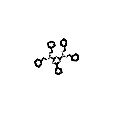 c1ccc(CSN(SCc2ccccc2)c2nc(-c3ccccc3)nc(N(SCc3ccccc3)SCc3ccccc3)n2)cc1